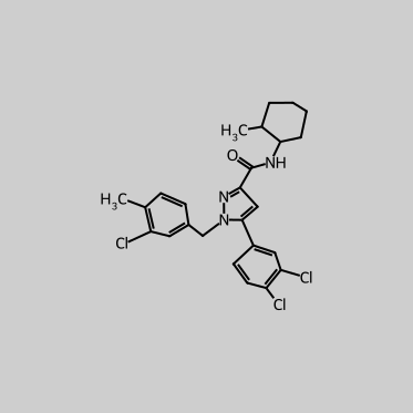 Cc1ccc(Cn2nc(C(=O)NC3CCCCC3C)cc2-c2ccc(Cl)c(Cl)c2)cc1Cl